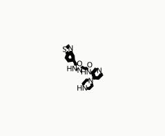 O=C(Nc1cnccc1N1CCNCC1)C1=NNC(c2ccc3scnc3c2)O1